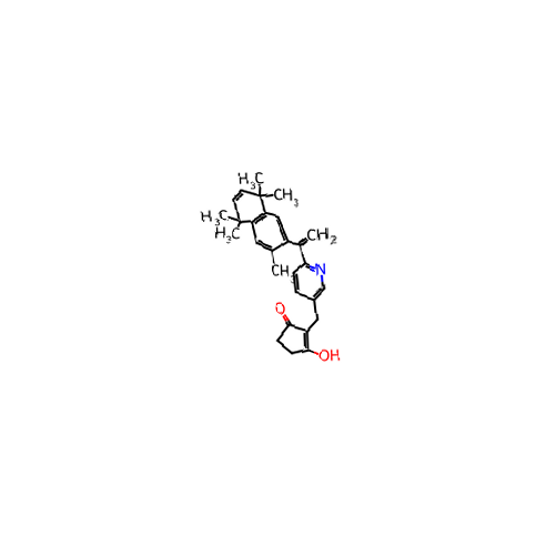 C=C(c1ccc(CC2=C(O)CCC2=O)cn1)c1cc2c(cc1C)C(C)(C)C=CC2(C)C